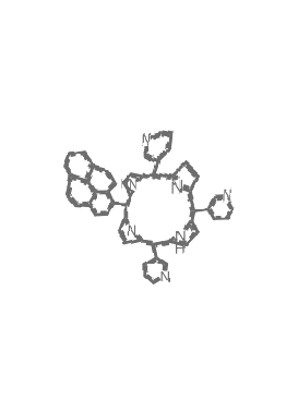 C1=Cc2nc1c(-c1cccnc1)c1ccc([nH]1)c(-c1cccnc1)c1nc(c(-c3ccc4ccc5cccc6ccc3c4c56)c3ccc([nH]3)c2-c2cccnc2)C=C1